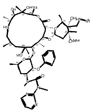 CCCNC[C@]1(O)[C@H](C)O[C@@H](O[C@H]2[C@H](C)[C@@H](O[C@@H]3O[C@H](C)C[C@H](N(C)C(=O)N(C)c4ncccn4)[C@H]3Oc3ccccc3)[C@](C)(O)C[C@@H](C)CN[C@H](C)[C@@H](O)[C@](C)(O)[C@@H](CC)OC(=O)[C@@H]2C)C[C@@]1(C)OC